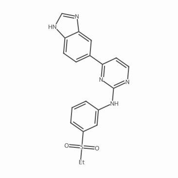 CCS(=O)(=O)c1cccc(Nc2nccc(-c3ccc4[nH]cnc4c3)n2)c1